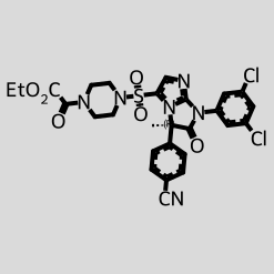 CCOC(=O)C(=O)N1CCN(S(=O)(=O)c2cnc3n2[C@](C)(c2ccc(C#N)cc2)C(=O)N3c2cc(Cl)cc(Cl)c2)CC1